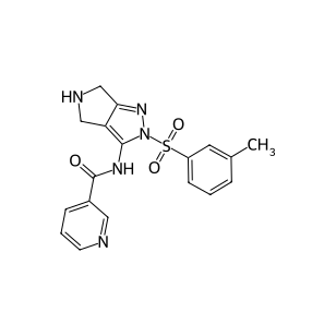 Cc1cccc(S(=O)(=O)n2nc3c(c2NC(=O)c2cccnc2)CNC3)c1